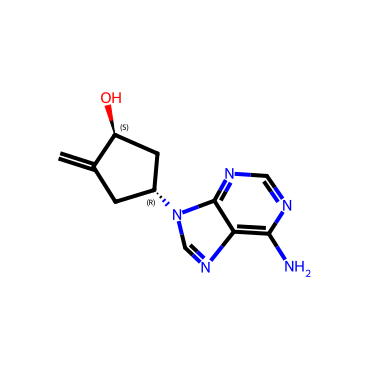 C=C1C[C@@H](n2cnc3c(N)ncnc32)C[C@@H]1O